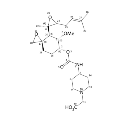 CO[C@@H]1[C@H](OC(=O)NC2CCN(CC(=O)O)CC2)CC[C@]2(CO2)[C@H]1[C@@]1(C)OC1CC=C(C)C